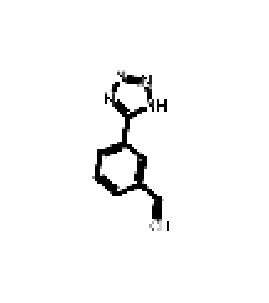 [CH]=Cc1cccc(-c2nnn[nH]2)c1